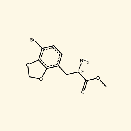 COC(=O)[C@@H](N)Cc1ccc(Br)c2c1OCO2